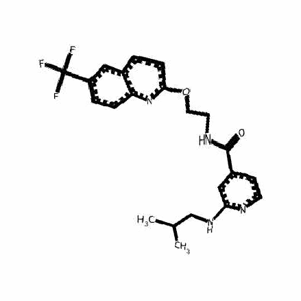 CC(C)CNc1cc(C(=O)NCCOc2ccc3cc(C(F)(F)F)ccc3n2)ccn1